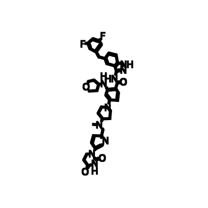 CN(Cc1ccc(N2CCC(=O)NC2=O)cn1)C1CCN(c2ccc(C(=O)Nc3n[nH]c4ccc(Cc5cc(F)cc(F)c5)cc34)c(NC3CCOCC3)c2)CC1